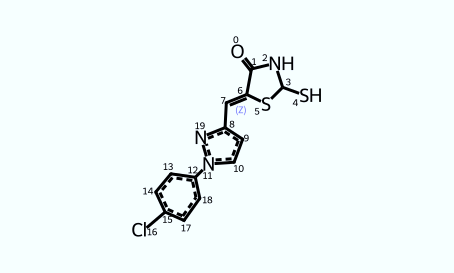 O=C1NC(S)S/C1=C\c1ccn(-c2ccc(Cl)cc2)n1